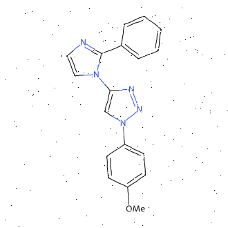 COc1ccc(-n2cc(-n3ccnc3-c3ccccc3)nn2)cc1